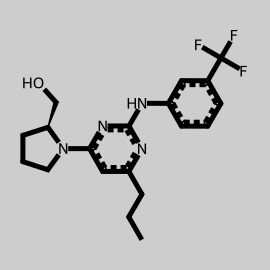 CCCc1cc(N2CCC[C@H]2CO)nc(Nc2cccc(C(F)(F)F)c2)n1